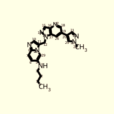 CCCCNc1ccc2ncc(Cn3ncc4ncc(-c5cnn(C)c5)cc43)n2c1